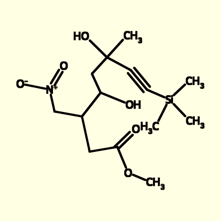 COC(=O)CC(C[N+](=O)[O-])C(O)CC(C)(O)C#C[Si](C)(C)C